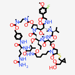 CCC[C@@H]([C@@H](CC(=O)N1C[C@@H](OC(=O)N(C)CCN(C)C(=O)OCc2ccc(NC(=O)[C@H](CCCNC(N)=O)NC(=O)[C@@H](NC(=O)CCCCCN3C(=O)CC(SCC4(CC(=O)O)CC4)C3=O)C(C)C)cc2)C[C@H]1[C@H](OC)[C@@H](C)C(=O)NCC(=O)c1ccc(OC)c(F)c1)OC)N(C)C(=O)[C@@H](NC(=O)[C@H](C(C)C)N(C)C)C(C)C